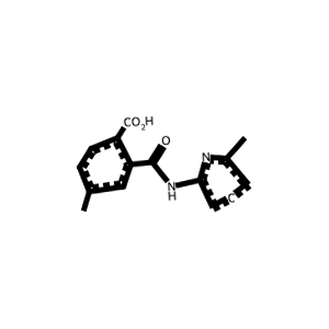 Cc1ccc(C(=O)O)c(C(=O)Nc2cccc(C)n2)c1